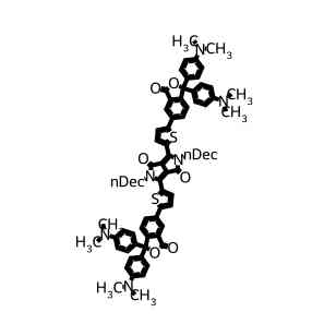 CCCCCCCCCCN1C(=O)C2=C(c3ccc(-c4ccc5c(c4)C(=O)OC5(c4ccc(N(C)C)cc4)c4ccc(N(C)C)cc4)s3)N(CCCCCCCCCC)C(=O)C2=C1c1ccc(-c2ccc3c(c2)C(=O)OC3(c2ccc(N(C)C)cc2)c2ccc(N(C)C)cc2)s1